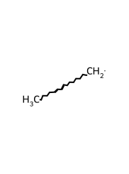 [CH2]CCCCCCCC=CC=CCCCCC